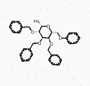 S[C@@H]1O[C@H](COc2ccccc2)[C@@H](OCc2ccccc2)[C@@H](OCc2ccccc2)[C@@H]1OCc1ccccc1